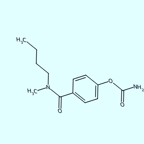 CCCCN(C)C(=O)c1ccc(OC(N)=O)cc1